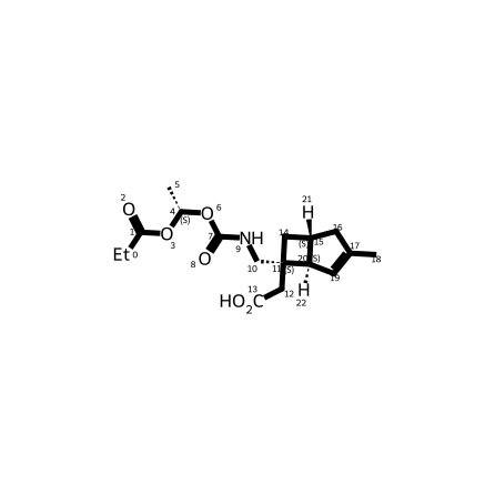 CCC(=O)O[C@H](C)OC(=O)NC[C@]1(CC(=O)O)C[C@@H]2CC(C)=C[C@H]21